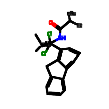 CCCCC(CC)C(=O)[NH][Hf]([Cl])([Cl])([c]1cccc2c1Cc1ccccc1-2)[SiH](C)C